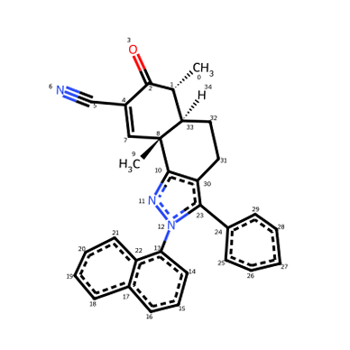 C[C@H]1C(=O)C(C#N)=C[C@@]2(C)c3nn(-c4cccc5ccccc45)c(-c4ccccc4)c3CC[C@H]12